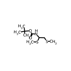 CSCC(NC(=O)OC(C)(C)C)SC